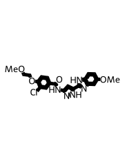 COCCOc1ccc(C(=O)Nc2cc(-c3nc4cc(OC)ccc4[nH]3)[nH]n2)cc1Cl